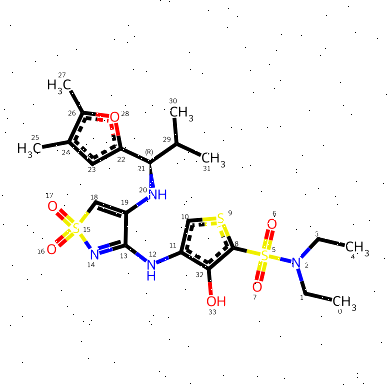 CCN(CC)S(=O)(=O)c1scc(NC2=NS(=O)(=O)C=C2N[C@@H](c2cc(C)c(C)o2)C(C)C)c1O